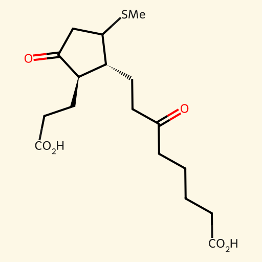 CSC1CC(=O)[C@H](CCC(=O)O)[C@H]1CCC(=O)CCCCC(=O)O